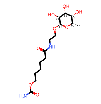 C[C@@H]1O[C@@H](OCCNC(=O)CCCCCOC(N)=O)[C@@H](O)[C@H](O)[C@@H]1O